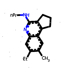 CCCNc1nc2cc(CC)c(C)cc2c2c1CCC2